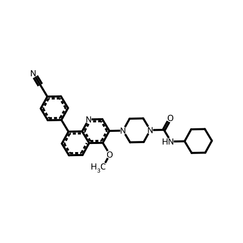 COc1c(N2CCN(C(=O)NC3CCCCC3)CC2)cnc2c(-c3ccc(C#N)cc3)cccc12